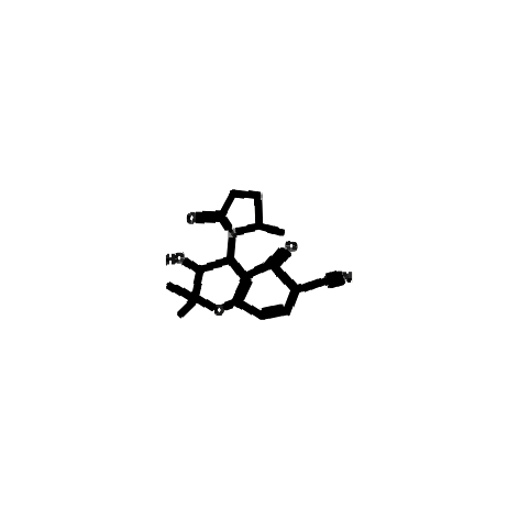 CC1CCC(=O)N1C1C2=C(C=CC(C#N)C2=O)OC(C)(C)C1O